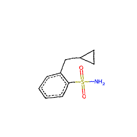 NS(=O)(=O)c1ccccc1CC1CC1